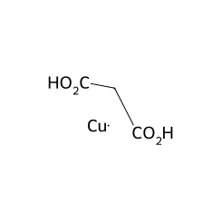 O=C(O)CC(=O)O.[Cu]